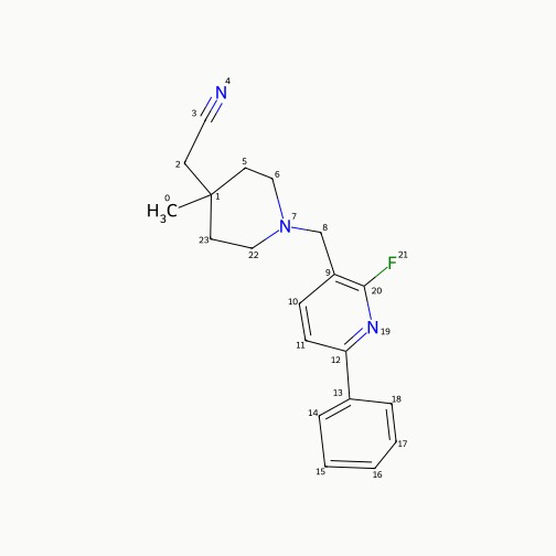 CC1(CC#N)CCN(Cc2ccc(-c3ccccc3)nc2F)CC1